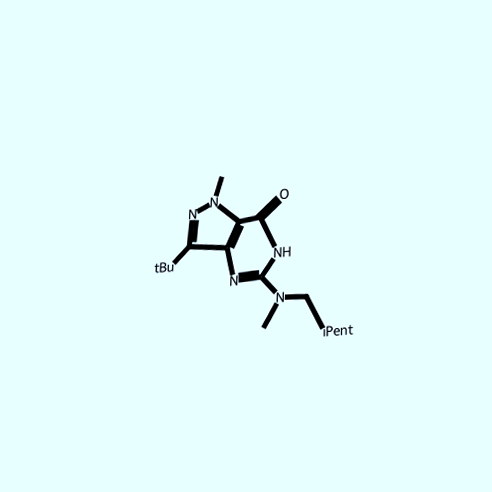 CCCC(C)CN(C)c1nc2c(C(C)(C)C)nn(C)c2c(=O)[nH]1